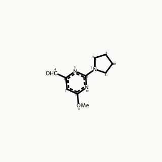 COc1cc(C=O)nc(N2CCCC2)n1